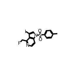 Cc1ccc(S(=O)(=O)n2cc(I)c3c(CF)nccc32)cc1